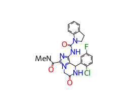 CNC(=O)c1nc(NC(=O)N2CCc3ccccc32)c2n1CC(=O)NC2c1cc(F)ccc1Cl